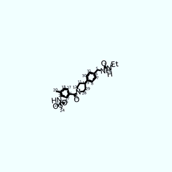 CCNC(=O)NCc1ccc(C2CCN(C(=O)c3ccc(C)c(NS(C)(=O)=O)c3)CC2)cc1